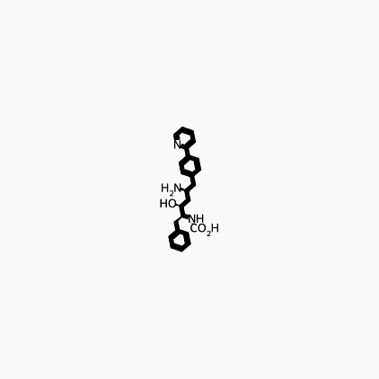 N[C@@H](Cc1ccc(-c2ccccn2)cc1)C[C@@H](O)[C@H](Cc1ccccc1)NC(=O)O